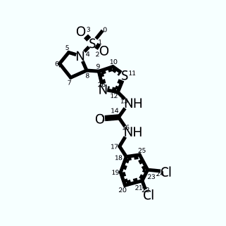 CS(=O)(=O)N1C[CH]CC1c1csc(NC(=O)NCc2ccc(Cl)c(Cl)c2)n1